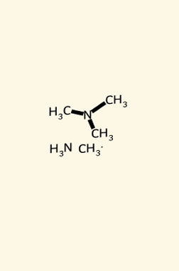 CN(C)C.N.[CH3]